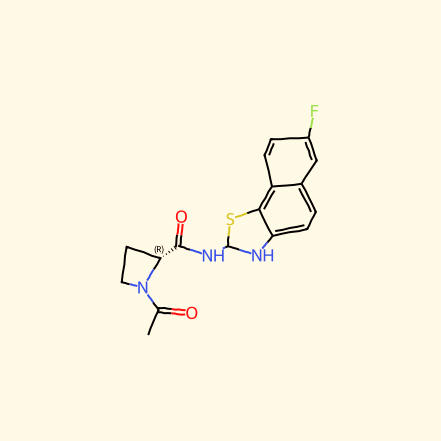 CC(=O)N1CC[C@@H]1C(=O)NC1Nc2ccc3cc(F)ccc3c2S1